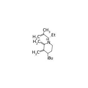 C=C1C(=C)N([C@@H](CC)C(=C)C)CCC1C(C)CC